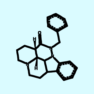 O=C1[C@H]2CCCN3CCC4c5ccccc5N(C4[C@@H]23)N1Cc1ccccc1